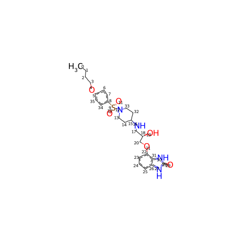 CCCCOc1ccc(S(=O)(=O)N2CCC(NC[C@@H](O)COc3cccc4[nH]c(=O)[nH]c34)CC2)cc1